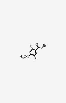 COc1cc(F)c(C(=O)CBr)cc1F